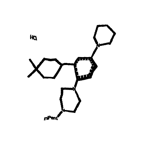 CCCCCN1CCN(c2ccc(N3CCCCC3)cc2C2CCC(C)(C)CC2)CC1.Cl